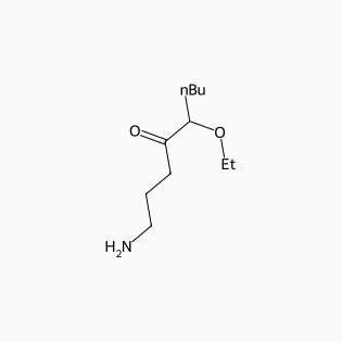 CCCCC(OCC)C(=O)CCCN